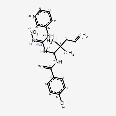 C=CCC(C)(C)C(NC(=O)c1ccc(Cl)cc1)N/C(=N/[N+](=O)[O-])Nc1cccnc1